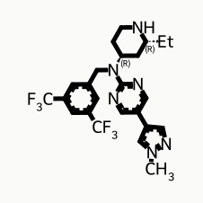 CC[C@@H]1C[C@H](N(Cc2cc(C(F)(F)F)cc(C(F)(F)F)c2)c2ncc(-c3cnn(C)c3)cn2)CCN1